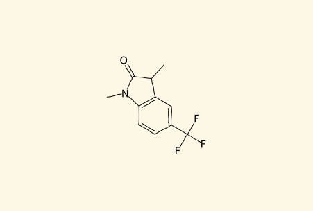 CC1C(=O)N(C)c2ccc(C(F)(F)F)cc21